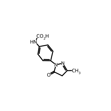 CC1=NN(c2ccc(NC(=O)O)cc2)C(=O)C1